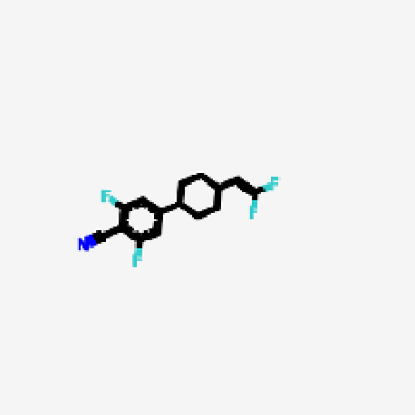 N#Cc1c(F)cc(C2CCC(C=C(F)F)CC2)cc1F